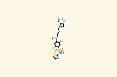 NC[C@@H]1CCN1CCCCNc1cc(F)c(S(=O)(=O)Nc2nccs2)cc1Cl